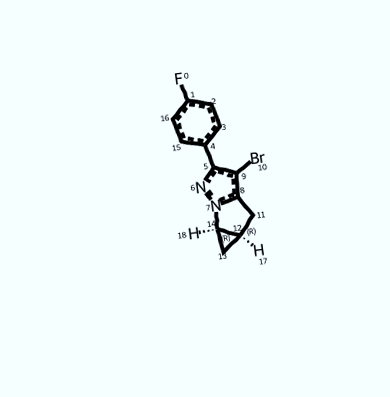 Fc1ccc(-c2nn3c(c2Br)C[C@H]2C[C@H]23)cc1